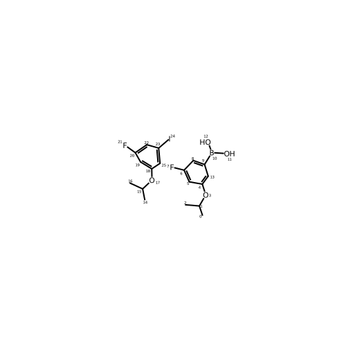 CC(C)Oc1cc(F)cc(B(O)O)c1.CC(C)Oc1cc(F)cc(I)c1